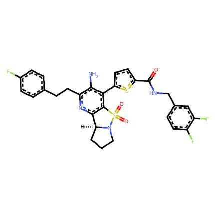 Nc1c(CCc2ccc(F)cc2)nc2c(c1-c1ccc(C(=O)NCc3ccc(F)c(F)c3)s1)S(=O)(=O)N1CCC[C@@H]21